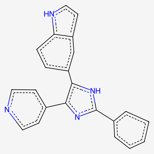 c1ccc(-c2nc(-c3ccncc3)c(-c3ccc4[nH]ccc4c3)[nH]2)cc1